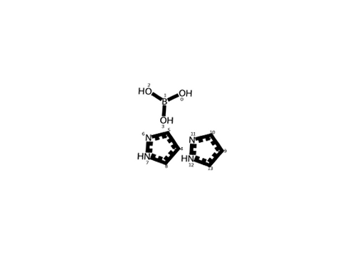 OB(O)O.c1cn[nH]c1.c1cn[nH]c1